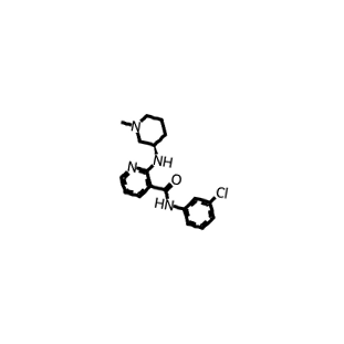 CN1CCC[C@@H](Nc2ncccc2C(=O)Nc2cccc(Cl)c2)C1